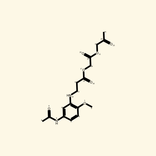 COc1ccc(NC(C)=O)cc1NCCC(=O)OCC(=O)OCC(C)=O